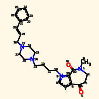 CN1CCC(=O)c2ccn(CCCCN3CCN(CC=Cc4ccccc4)CC3)c2C1=O